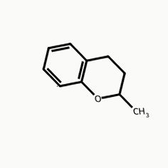 CC1CCc2ccc[c]c2O1